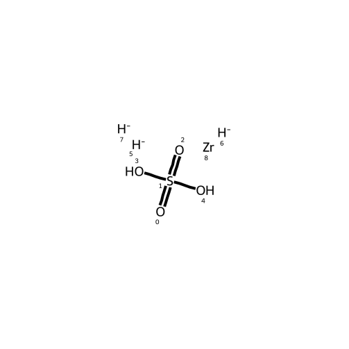 O=S(=O)(O)O.[H-].[H-].[H-].[Zr]